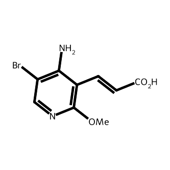 COc1ncc(Br)c(N)c1/C=C/C(=O)O